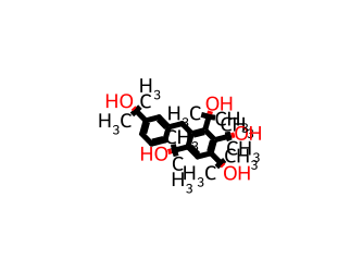 CC(C)(O)c1cccc(Cc2c(C(C)(C)O)cc(C(C)(C)O)c(C(C)(C)O)c2C(C)(C)O)c1